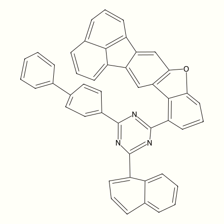 c1ccc(-c2ccc(-c3nc(-c4cccc5ccccc45)nc(-c4cccc5oc6cc7c(cc6c45)-c4cccc5cccc-7c45)n3)cc2)cc1